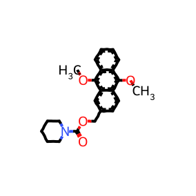 COc1c2ccccc2c(OC)c2cc(COC(=O)N3CCCCC3)ccc12